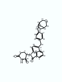 O=C1CCC(N2C(=O)c3cccc4c(Cc5ccc(CN6C7CCC6COC7)cc5)ccc2c34)C(=O)N1